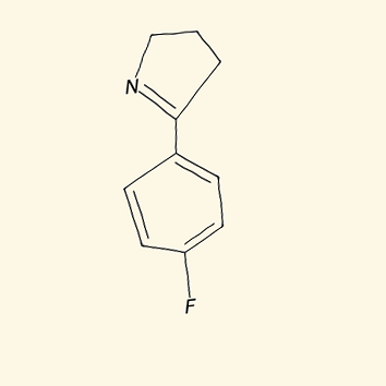 Fc1ccc(C2=NCCC2)cc1